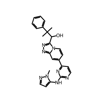 Cn1nccc1Nc1nccc(-c2ccn3c(C(O)C(C)(C)c4ccccc4)nnc3c2)n1